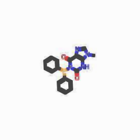 Cn1cnc2c(=O)n(P(c3ccccc3)c3ccccc3)c(=O)[nH]c21